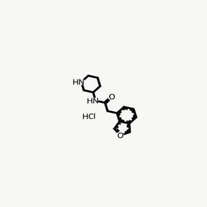 Cl.O=C(Cc1cccc2cocc12)NC1CCCNC1